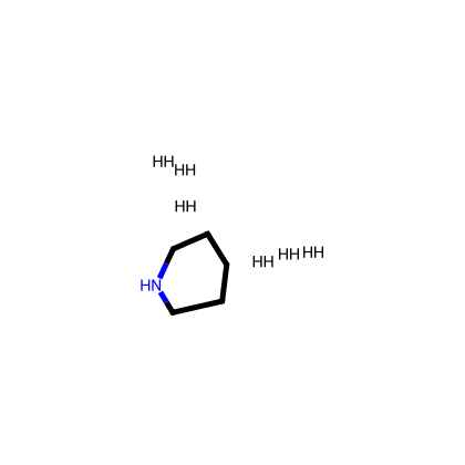 C1CCNCC1.[HH].[HH].[HH].[HH].[HH].[HH]